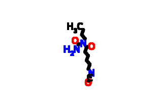 CCCCN(C(N)=O)C(=O)CCCCCN=C=O